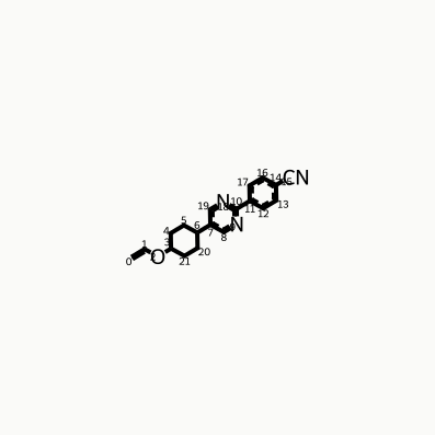 C=COC1CCC(c2cnc(-c3ccc(C#N)cc3)nc2)CC1